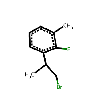 C[C](CBr)c1cccc(C)c1F